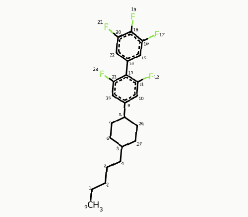 CCCCCC1CCC(c2cc(F)c(-c3cc(F)c(F)c(F)c3)c(F)c2)CC1